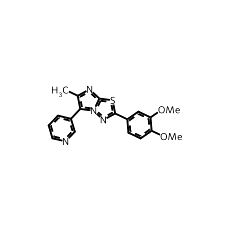 COc1ccc(-c2nn3c(-c4cccnc4)c(C)nc3s2)cc1OC